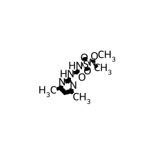 CON(C)S(=O)(=O)NC(=O)Nc1nc(C)cc(C)n1